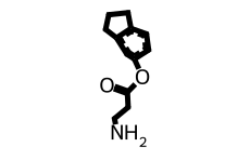 NCCC(=O)Oc1ccc2c(c1)CCC2